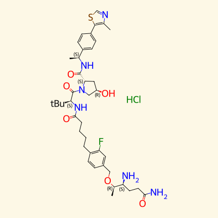 Cc1ncsc1-c1ccc([C@H](C)NC(=O)[C@@H]2C[C@@H](O)CN2C(=O)[C@@H](NC(=O)CCCCc2ccc(CO[C@H](C)[C@@H](N)CCC(N)=O)cc2F)C(C)(C)C)cc1.Cl